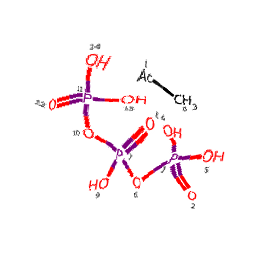 CC(C)=O.O=P(O)(O)OP(=O)(O)OP(=O)(O)O